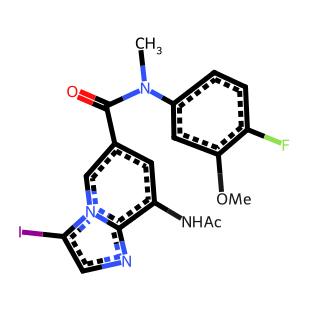 COc1cc(N(C)C(=O)c2cc(NC(C)=O)c3ncc(I)n3c2)ccc1F